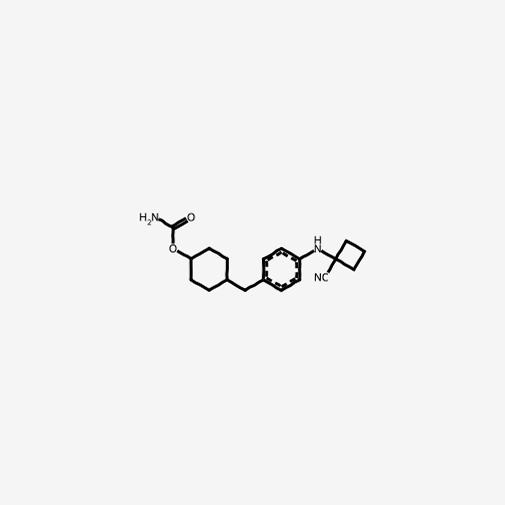 N#CC1(Nc2ccc(CC3CCC(OC(N)=O)CC3)cc2)CCC1